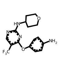 Nc1ccc(Oc2nc(NC3CCOCC3)ncc2C(F)(F)F)cc1